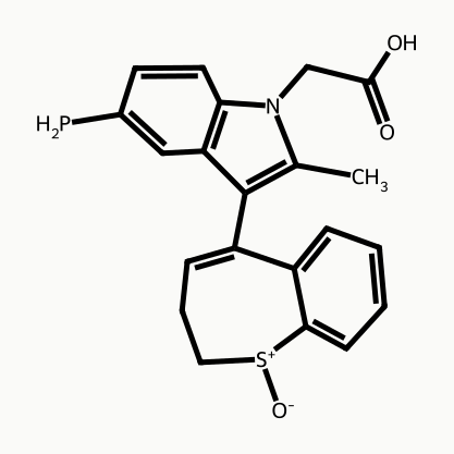 Cc1c(C2=CCC[S+]([O-])c3ccccc32)c2cc(P)ccc2n1CC(=O)O